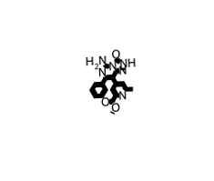 COC(=O)c1cc(-c2c(-c3ccccc3)nc(N)n3c(=O)[nH]nc23)cc(C)n1